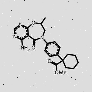 COC(=O)C1(c2ccc(N3CC(C)Oc4ncnc(N)c4C3=O)cc2)CCCCC1